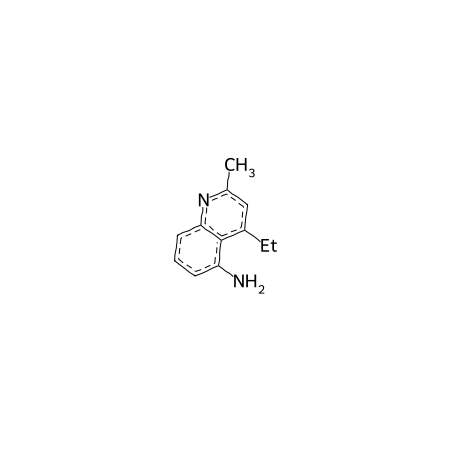 CCc1cc(C)nc2cccc(N)c12